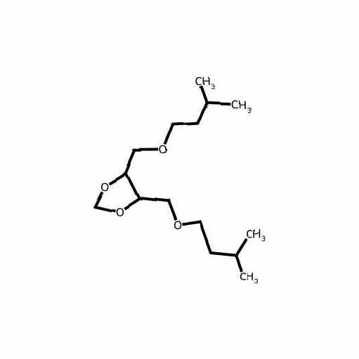 CC(C)CCOCC1OCOC1COCCC(C)C